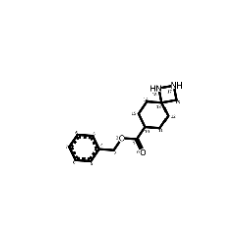 O=C(OCc1ccccc1)C1CCC2(CC1)CNN2